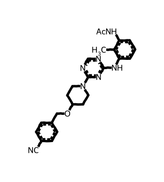 CC(=O)Nc1cccc(Nc2ncnc(N3CCC(OCc4ccc(C#N)cc4)CC3)n2)c1C